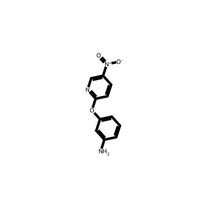 Nc1[c]c(Oc2ccc([N+](=O)[O-])cn2)ccc1